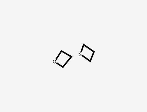 C1COC1.C1CSC1